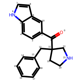 O=C(c1ccc2[nH]ccc2c1)C1(Cc2ccccc2)CCNC1